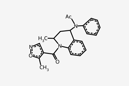 CC(=O)N(c1ccccc1)C1CC(C)N(C(=O)c2cnoc2C)c2ccccc21